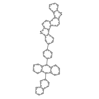 c1ccc2cc(-c3c4ccccc4c(-c4ccc(-c5ccc6c(c5)sc5ccc7c(ccc8sc9ccccc9c87)c56)cc4)c4ccccc34)ccc2c1